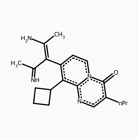 CCCc1cnc2c(C3CCC3)c(/C(C(C)=N)=C(\C)N)ccn2c1=O